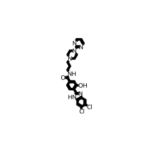 O=C(NCCCN1CCN(c2ncccn2)CC1)c1ccc(-c2nc3cc(Cl)c(Cl)cc3[nH]2)c(O)c1